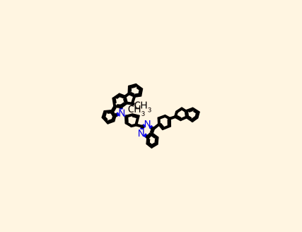 CC1(C)c2ccccc2-c2ccc3c4ccccc4n(C4=CCC(c5nc(C6=CC=C(C7=Cc8ccccc8CC7)CC6)c6ccccc6n5)C=C4)c3c21